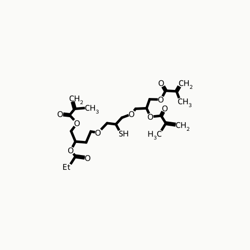 C=C(C)C(=O)OCC(CCOCC(S)COCC(COC(=O)C(=C)C)OC(=O)C(=C)C)OC(=O)CC